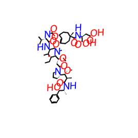 CC[C@H](C)[C@@H]([C@@H](CC(=O)N1CCC[C@H]1[C@H](OC)[C@@H](C)C(=O)N[C@H](C)[C@@H](O)c1ccccc1)OC)N(C)C(=O)[C@@H](NC(=O)[C@H](C(C)C)N(C)C(=O)O[C@H]1/C=C/CC[C@@](C)(C(=O)N[C@@H](CC(=O)O)C(=O)O)CC1)C(C)C